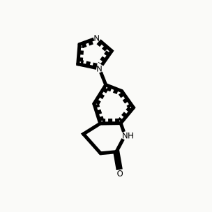 O=C1CCc2cc(-n3ccnc3)ccc2N1